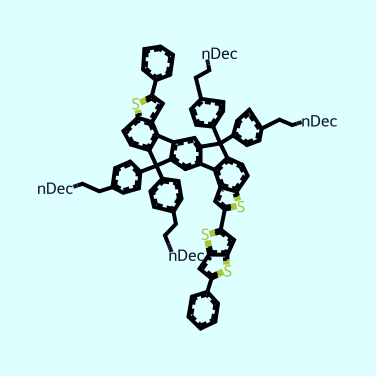 CCCCCCCCCCCCc1ccc(C2(c3ccc(CCCCCCCCCCCC)cc3)c3cc4c(cc3-c3c2ccc2sc(-c5ccccc5)cc32)C(c2ccc(CCCCCCCCCCCC)cc2)(c2ccc(CCCCCCCCCCCC)cc2)c2ccc3sc(-c5cc6sc(-c7ccccc7)cc6s5)cc3c2-4)cc1